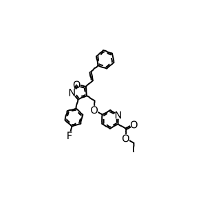 CCOC(=O)c1ccc(OCc2c(-c3ccc(F)cc3)noc2C=Cc2ccccc2)cn1